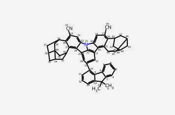 CC1(C)c2ccccc2-c2c(-c3cc4c5c6c(c(C#N)cc5n5c7cc(C#N)c8c(c7c(c3)c45)C3CC4CC5CC8CC54C3)C3CC4CC(C3)CC6C4)cccc21